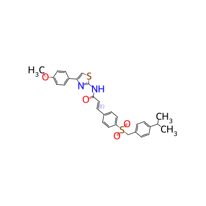 COc1ccc(-c2csc(NC(=O)/C=C/c3ccc(S(=O)(=O)Cc4ccc(C(C)C)cc4)cc3)n2)cc1